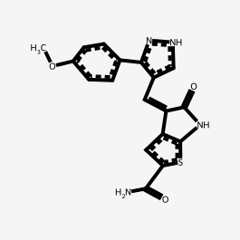 COc1ccc(-c2n[nH]cc2C=C2C(=O)Nc3sc(C(N)=O)cc32)cc1